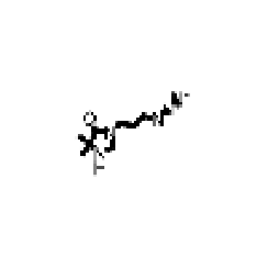 CC1(C)NCN(CCCN=[N+]=[N-])C1=O